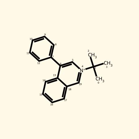 CC(C)(C)[n+]1cc(-c2ccccc2)c2ccccc2c1